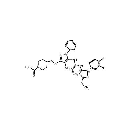 C=S=C(Nc1c(C)c(OCC2CCN(C(C)=O)CC2)nn1-c1ccccc1)N[C@@H]1CN(CC)O[C@H]1c1ccc(F)c(F)c1